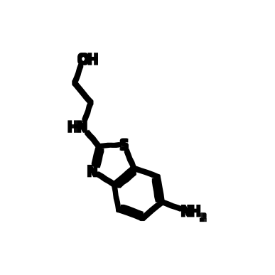 Nc1ccc2nc(NCCO)sc2c1